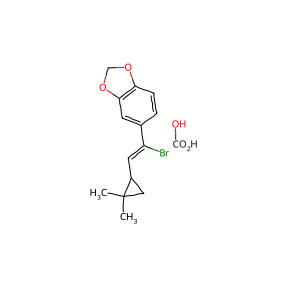 CC1(C)CC1C=C(Br)c1ccc2c(c1)OCO2.O=C(O)O